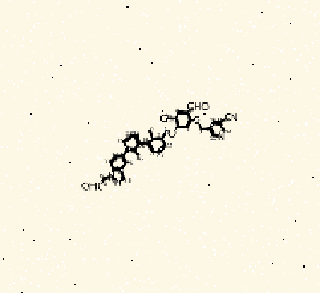 Cc1c(COc2cc(OCc3cncc(C#N)c3)c(C=O)cc2Cl)cccc1-c1cccc(-c2ccc3c(cnn3CC=O)c2)c1C